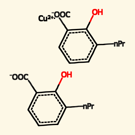 CCCc1cccc(C(=O)[O-])c1O.CCCc1cccc(C(=O)[O-])c1O.[Cu+2]